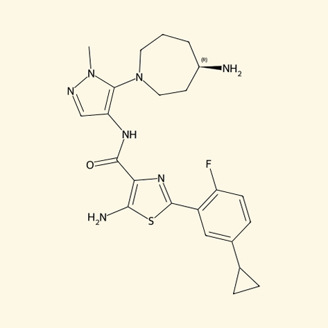 Cn1ncc(NC(=O)c2nc(-c3cc(C4CC4)ccc3F)sc2N)c1N1CCC[C@@H](N)CC1